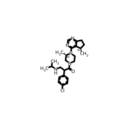 CC(C)NCC(C(=O)N1CCN(c2ncnc3c2[C@H](C)CC3)[C@H](C)C1)c1ccc(Cl)cc1